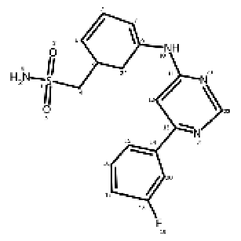 NS(=O)(=O)CC1C=CC=C(Nc2cc(-c3cccc(F)c3)ncn2)C1